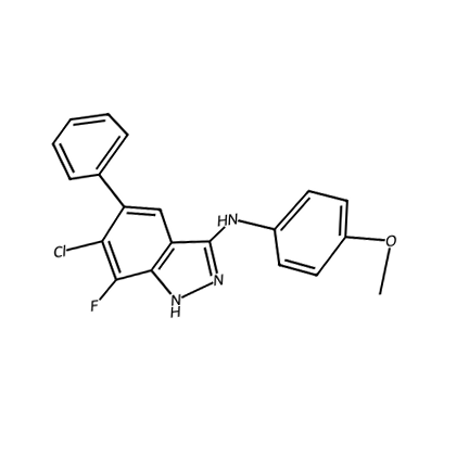 COc1ccc(Nc2n[nH]c3c(F)c(Cl)c(-c4ccccc4)cc23)cc1